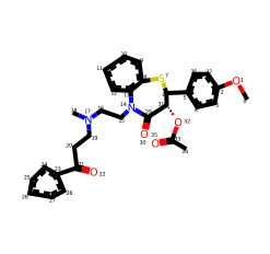 COc1ccc(C2Sc3ccccc3N(CCN(C)CCC(=O)c3ccccc3)C(=O)[C@H]2OC(C)=O)cc1